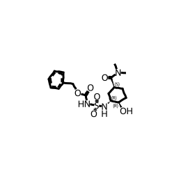 CN(C)C(=O)[C@H]1CC[C@@H](O)[C@H](NS(=O)(=O)NC(=O)OCc2ccccc2)C1